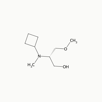 COC[C@H](CO)N(C)C1CCC1